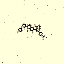 COC(=O)N1CCC(c2cc(-c3ccc(NC(=O)c4cccn(-c5ccc(F)cc5)c4=O)cc3F)c3c(N)ncnn23)CC1